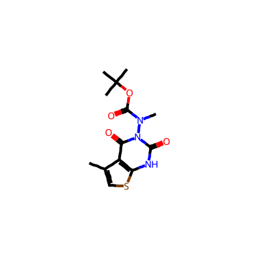 Cc1csc2[nH]c(=O)n(N(C)C(=O)OC(C)(C)C)c(=O)c12